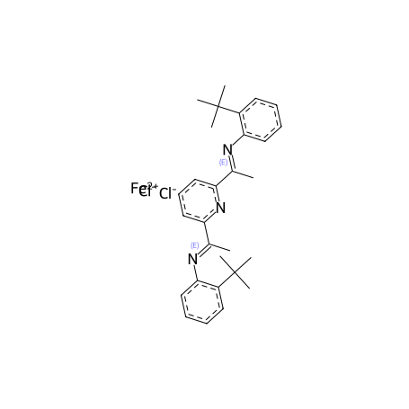 C/C(=N\c1ccccc1C(C)(C)C)c1cccc(/C(C)=N/c2ccccc2C(C)(C)C)n1.[Cl-].[Cl-].[Fe+2]